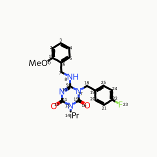 COc1ccccc1CNc1nc(=O)n(C(C)C)c(=O)n1Cc1ccc(F)cc1